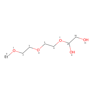 CCOCCOCCOC(O)CO